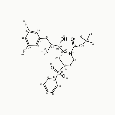 CC(C)(C)OC(=O)N1CCN(S(=O)(=O)c2ccccc2)C[C@@H]1[C@@H](O)C(N)Cc1cc(F)cc(F)c1